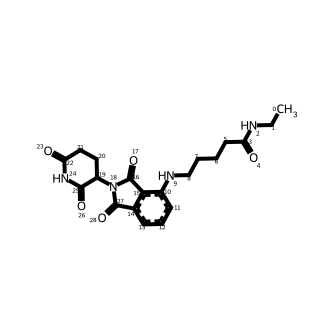 CCNC(=O)CCCCNc1cccc2c1C(=O)N(C1CCC(=O)NC1=O)C2=O